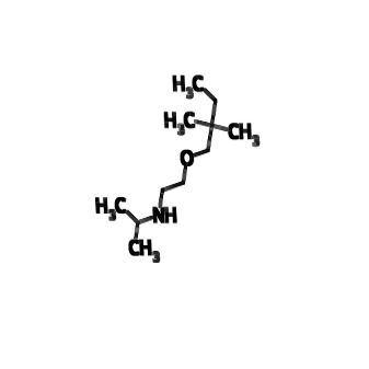 CCC(C)(C)COCCNC(C)C